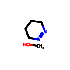 C1CCN=NC1.CO